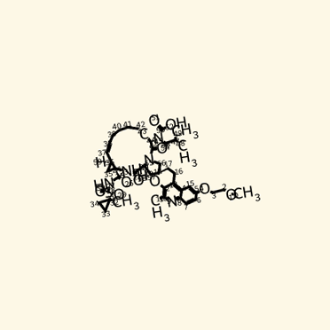 COCCOc1ccc2nc(C)c3c(c2c1)CC[C@]1(C[C@H]2C(=O)N[C@]4(C(=O)NS(=O)(=O)C5(C)CC5)C[C@H]4/C=C\CCCCC[C@H](N(CC(C)C)C(=O)O)C(=O)N2C1)O3